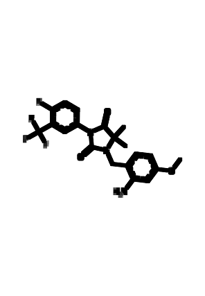 COc1ccc(CN2C(=O)N(c3ccc(F)c(C(F)(F)F)c3)C(=O)C2(C)C)c(N)c1